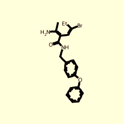 CC/C(Br)=C\C(C(=O)NCc1ccc(Oc2ccccc2)cc1)=C(/C)N